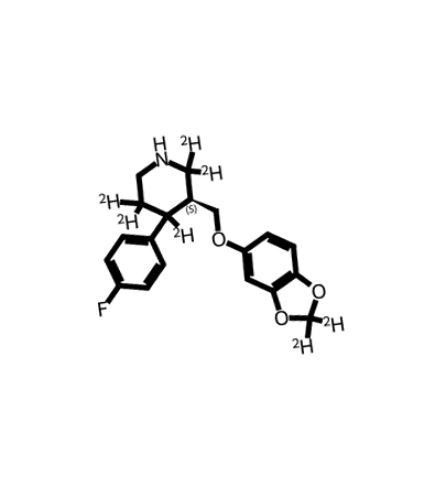 [2H]C1([2H])Oc2ccc(OC[C@@H]3C([2H])([2H])NCC([2H])([2H])C3([2H])c3ccc(F)cc3)cc2O1